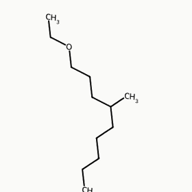 CCCCCC(C)CCCOCC